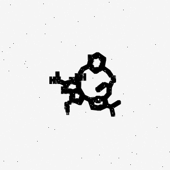 C=C/C1=C\c2cc(ccc2C(C)C)-c2cn(SI)c3nc(NC)nc(c23)NCc2cc(ccn2)CS1